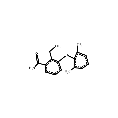 CCc1c(Oc2c(C)cccc2C)cccc1C(N)=O